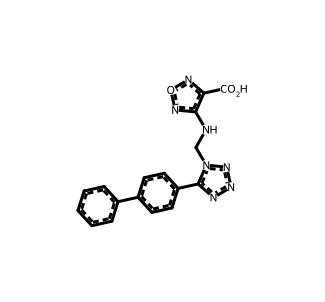 O=C(O)c1nonc1NCn1nnnc1-c1ccc(-c2ccccc2)cc1